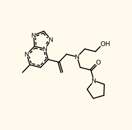 C=C(CN(CCO)CC(=O)N1CCCC1)c1cc(C)nc2ncnn12